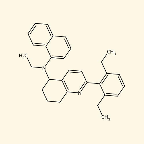 CCc1cccc(CC)c1-c1ccc2c(n1)CCCC2N(CC)c1cccc2ccccc12